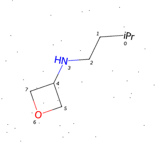 CC(C)CCNC1COC1